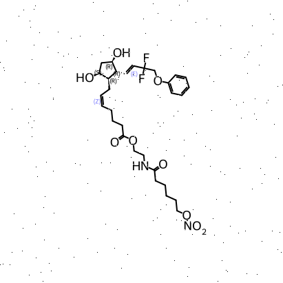 O=C(CCCCCO[N+](=O)[O-])NCCOC(=O)CCC/C=C\C[C@@H]1[C@@H](/C=C/C(F)(F)COc2ccccc2)[C@H](O)C[C@@H]1O